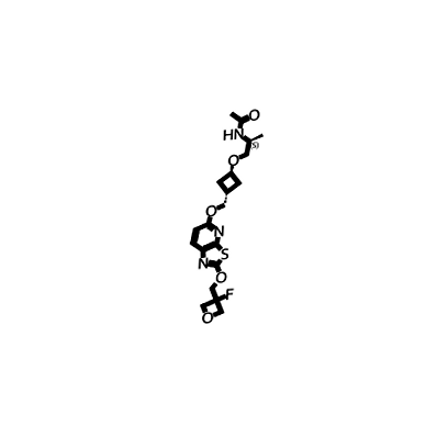 CC(=O)N[C@@H](C)CO[C@H]1C[C@H](COc2ccc3nc(OCC4(F)COC4)sc3n2)C1